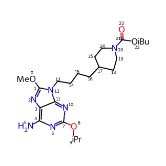 COc1nc2c(N)nc(OC(C)C)nc2n1CCCCC1CCN(C(=O)OCC(C)C)CC1